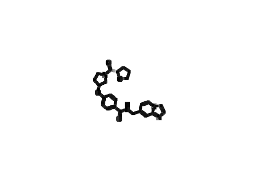 O=C(NCc1ccn2ccnc2c1)c1ccc(O[C@H]2CCN(C(=O)[C@@H]3CCCO3)C2)cc1